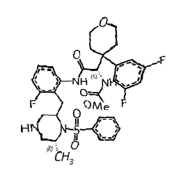 COC(=O)N[C@H](C(=O)Nc1cccc(F)c1CC1CNC[C@@H](C)N1S(=O)(=O)c1ccccc1)C1(c2cc(F)cc(F)c2)CCOCC1